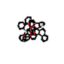 C1=CC2C(Oc3c(ccc4ccccc34)C23c2ccccc2-c2ccc(-c4ccccc4N(c4ccccc4-c4ccccc4)c4cccc5sc6ccccc6c45)cc23)c2ccccc21